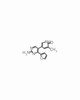 Cc1cc(-c2cnc(N)nc2-c2ccco2)c[nH]c1=O